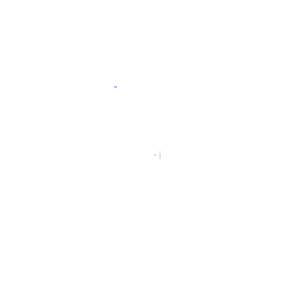 C/N=N\c1cc(Cl)c(O)c(NC(=O)CCC(=O)O)c1